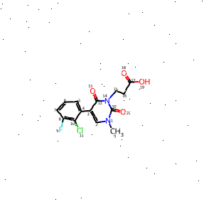 Cn1cc(-c2cccc(F)c2Cl)c(=O)n(CCC(=O)O)c1=O